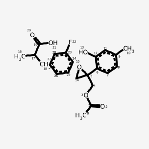 CC(=O)OCC1(c2ccc(C)cc2O)CO1.CC(C)C(=O)O.Fc1ccccc1